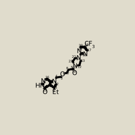 CCc1cn(CCOCCC(=O)N2CCN(c3ncc(C(F)(F)F)cn3)CC2)c2cn[nH]c(=O)c12